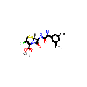 COC(=O)C1=C(Cl)CS[C@H]2C(NC(=O)C(N)c3cc(C)cc(C)c3)C(=O)N12